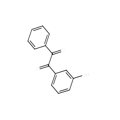 O=C(C(=O)c1cccc(O)c1)c1ccccc1